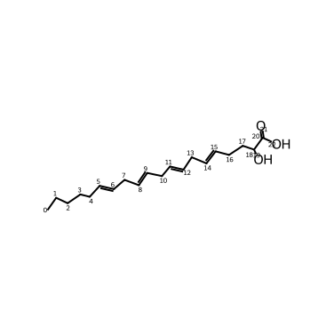 CCCCCC=CCC=CCC=CCC=CCCC(O)C(=O)O